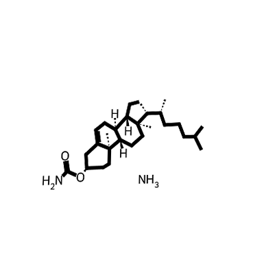 CC(C)CCC[C@@H](C)[C@H]1CC[C@H]2[C@@H]3CC=C4C[C@@H](OC(N)=O)CC[C@]4(C)[C@H]3CC[C@]12C.N